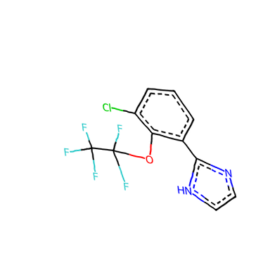 FC(F)(F)C(F)(F)Oc1c(Cl)cccc1-c1ncc[nH]1